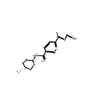 C=C(/C=C\C(=C/C)C(=O)N[C@H]1CC[C@H](C)CC1)/C(C)=N/C=N